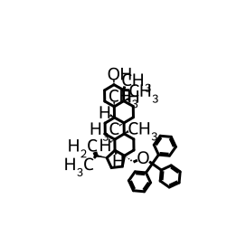 C=C(C)[C@@H]1CC[C@]2(COC(c3ccccc3)(c3ccccc3)c3ccccc3)CC[C@]3(C)[C@H](CC[C@@H]4[C@@]5(C)CC[C@H](O)C(C)(C)[C@@H]5CC[C@]43C)[C@@H]12